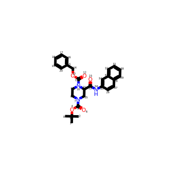 CC(C)(C)OC(=O)N1CCN(C(=O)OCc2ccccc2)C(C(=O)Nc2ccc3ccccc3c2)C1